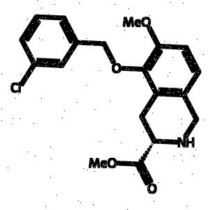 COC(=O)[C@@H]1Cc2c(ccc(OC)c2OCc2cccc(Cl)c2)CN1